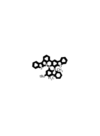 CC(C)(C)c1cc2c3c(c1)C1(C)CCCCC1(C)N3c1c3c(cc4c1oc1ccccc14)-c1cccc4c5c6ccccc6sc5n(c14)B23